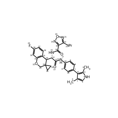 Cc1c[nH]c(C)c1-c1ccc(NC(=O)[C@@H](NC(=O)c2nonc2C(C)C)C2c3ccc(F)cc3OCC23CC3)cc1